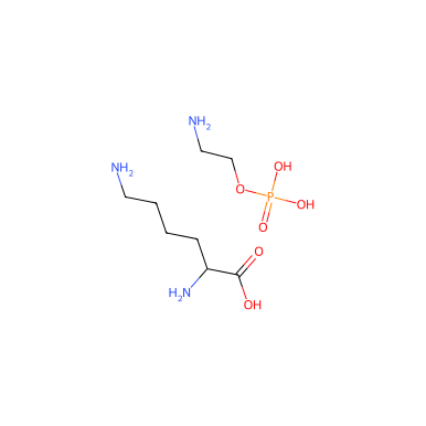 NCCCCC(N)C(=O)O.NCCOP(=O)(O)O